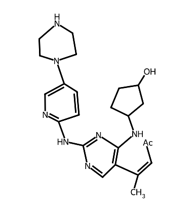 CC(=O)/C=C(/C)c1cnc(Nc2ccc(N3CCNCC3)cn2)nc1NC1CCC(O)C1